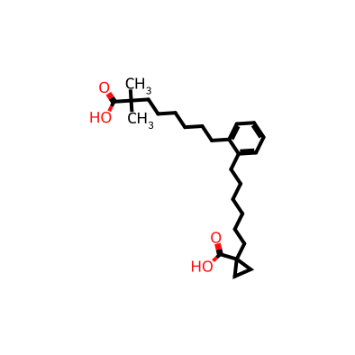 CC(C)(CCCCCCc1ccccc1CCCCCCC1(C(=O)O)CC1)C(=O)O